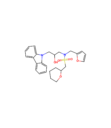 O=S(=O)(CC1CCCCO1)N(Cc1ccco1)CC(O)Cn1c2ccccc2c2ccccc21